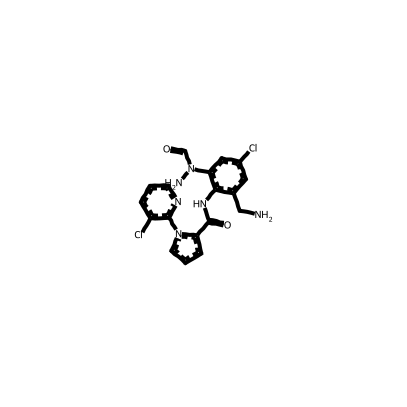 NCc1cc(Cl)cc(N(N)C=O)c1NC(=O)c1cccn1-c1ncccc1Cl